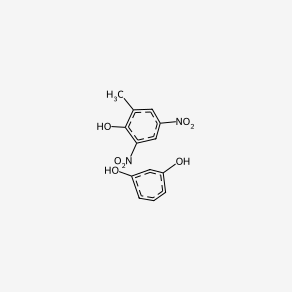 Cc1cc([N+](=O)[O-])cc([N+](=O)[O-])c1O.Oc1cccc(O)c1